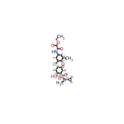 CCOC(=O)C(=O)Nc1cc(C)c(Oc2ccc(O)c(S(=O)(=O)N(C)C3CC3)c2)c(Cl)c1